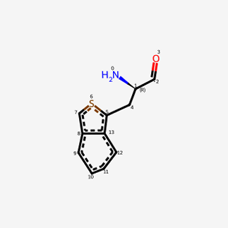 N[C@@H]([C]=O)Cc1scc2ccccc12